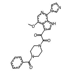 COc1cnc(-n2ccnc2)c2[nH]cc(C(=O)C(=O)N3CCN(C(=O)c4ccccc4)CC3)c12